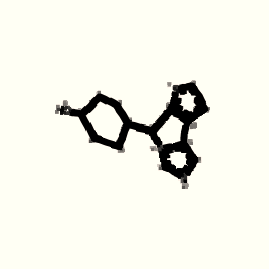 OC1CCC(C2c3sccc3-c3cncn32)CC1